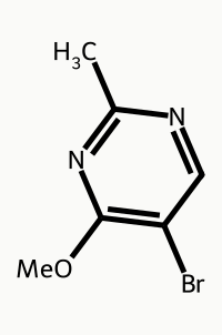 COc1nc(C)ncc1Br